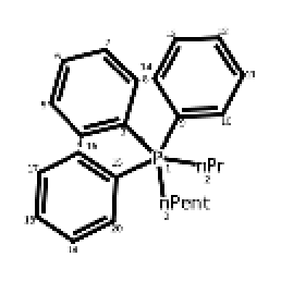 CCCCCP(CCC)(c1ccccc1)(c1ccccc1)c1ccccc1